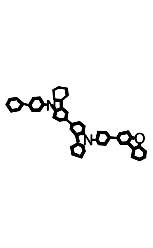 C1=Cc2c(n(-c3ccc(-c4ccccc4)cc3)c3ccc(-c4ccc5c(c4)c4ccccc4n5-c4ccc(-c5ccc6oc7ccccc7c6c5)cc4)cc23)CC1